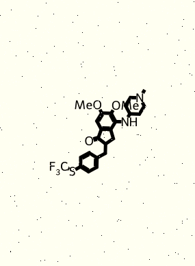 COc1cc2c(c(NC3CCN(C)CC3)c1OC)CC(Cc1ccc(SC(F)(F)F)cc1)C2=O